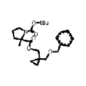 CC(C)(C)OC(=O)N1CCCC1(C)C(=O)OCC1(COCc2ccccc2)CC1